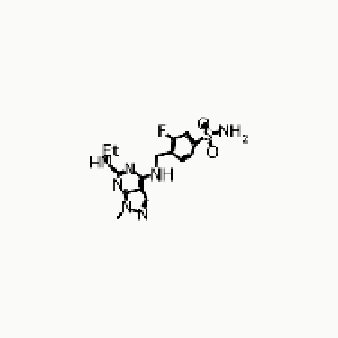 CCNc1nc(NCc2ccc(S(N)(=O)=O)cc2F)c2cnn(C)c2n1